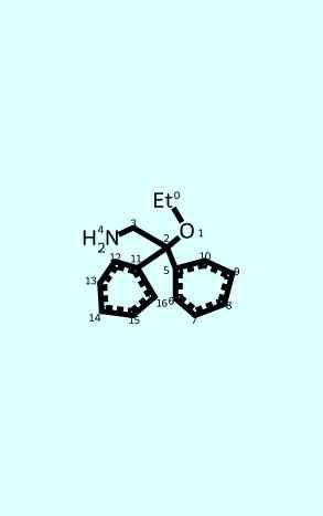 CCOC(CN)(c1ccccc1)c1ccccc1